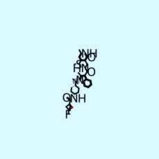 CSc1cc(C)[nH]c(=O)c1CNC(=O)c1c(C)n([C@H](C)[C@H]2CC[C@@H](NC(=O)C34CC(F)(C3)C4)CC2)c2ccccc12